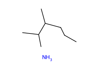 CCCC(C)C(C)C.N